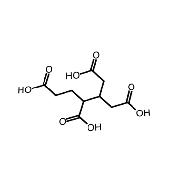 O=C(O)CCC(C(=O)O)C(CC(=O)O)CC(=O)O